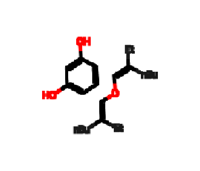 CCCCC(=COC=C(CC)CCCC)CC.Oc1cccc(O)c1